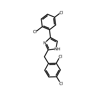 Clc1ccc(Cc2nc(-c3cc(Cl)ccc3Cl)c[nH]2)c(Cl)c1